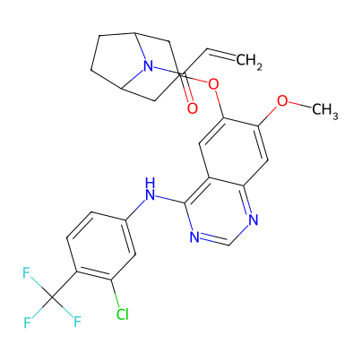 C=CC(=O)N1C2CCC1CC(Oc1cc3c(Nc4ccc(C(F)(F)F)c(Cl)c4)ncnc3cc1OC)C2